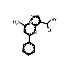 CCCC(CC)c1cnn2c(N)cc(-c3ccccc3)nc12